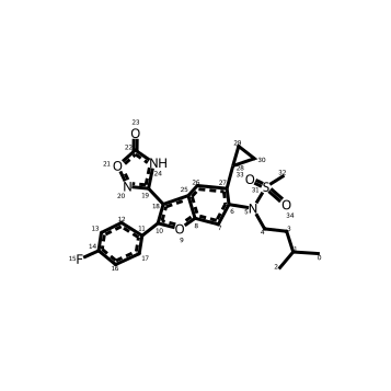 CC(C)CCN(c1cc2oc(-c3ccc(F)cc3)c(-c3noc(=O)[nH]3)c2cc1C1CC1)S(C)(=O)=O